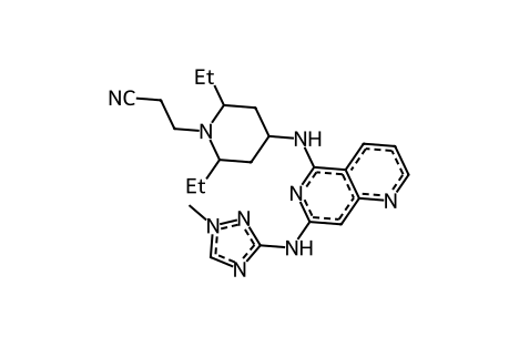 CCC1CC(Nc2nc(Nc3ncn(C)n3)cc3ncccc23)CC(CC)N1CCC#N